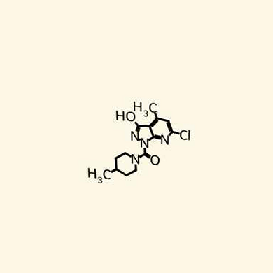 Cc1cc(Cl)nc2c1c(O)nn2C(=O)N1CCC(C)CC1